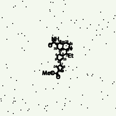 CCC(c1cccc(-c2csc(C(=O)OC)c2)c1)c1nccc2cc(C(N)=O)ccc12